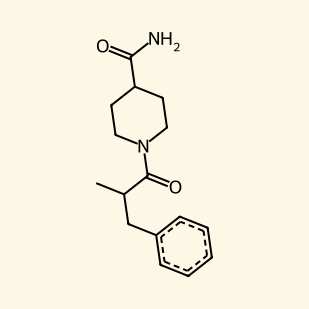 CC(Cc1ccccc1)C(=O)N1CCC(C(N)=O)CC1